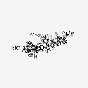 COCCN(C)c1ccc(N2[C@H](c3ccc4nc([C@@H]5CCCN5C(=O)[C@@H](NC(=O)OC)C(C)C)[nH]c4c3)CC[C@H]2c2ccc3nc([C@@H]4CCCN4C(=O)[C@H](C(C)C)N(C)C(=O)O)[nH]c3c2)cc1